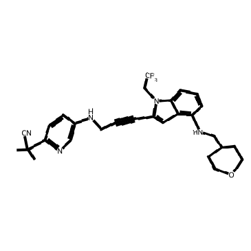 CC(C)(C#N)c1ccc(NCC#Cc2cc3c(NCC4CCOCC4)cccc3n2CC(F)(F)F)cn1